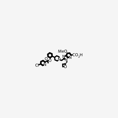 COc1cc(C(=O)O)nc2c1nc(CN1CCC(c3cccc4c3OC(C)(c3ccc(Cl)cn3)O4)CC1)n2C[C@@H]1CCO1